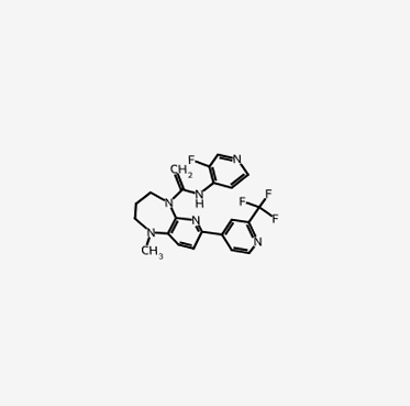 C=C(Nc1ccncc1F)N1CCCN(C)c2ccc(-c3ccnc(C(F)(F)F)c3)nc21